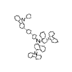 c1ccc(-n2c3ccccc3c3ccc(-c4ccc(-c5ccc(N(c6ccc(-n7c8ccccc8c8ccccc87)c7ccccc67)c6ccc(-n7c8ccccc8c8ccccc87)c7ccccc67)cc5)cc4)cc32)cc1